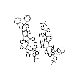 CC(C)(C)OC(=O)Nc1nc(/C(=N/OC2(C(=O)OC(C)(C)C)CC3CCC(C2)O3)C(=O)N[C@H]2CON(C3(C(=O)OC(C)(C)C)C[C@H](N4C(=O)c5cc6c(nc5C4=O)OC(c4ccccc4)(c4ccccc4)O6)C(=O)O3)C2=O)cs1